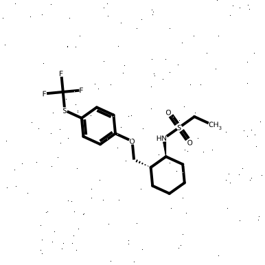 CCS(=O)(=O)N[C@H]1CCCC[C@@H]1COc1ccc(SC(F)(F)F)cc1